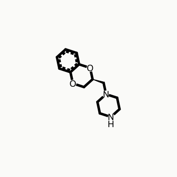 c1ccc2c(c1)OC[C@H](CN1CCNCC1)O2